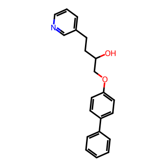 OC(CCc1cccnc1)COc1ccc(-c2ccccc2)cc1